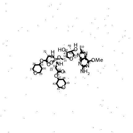 COc1nc(N)nc2c1nc(I)n2[C@@H]1O[C@H](COP(=O)(N[C@@H](C)C(=O)OC2CCOCC2)N[C@@H](C)C(=O)OC2CCOCC2)[C@@H](O)[C@@]1(C)O